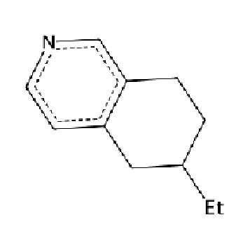 CCC1CCc2cnccc2C1